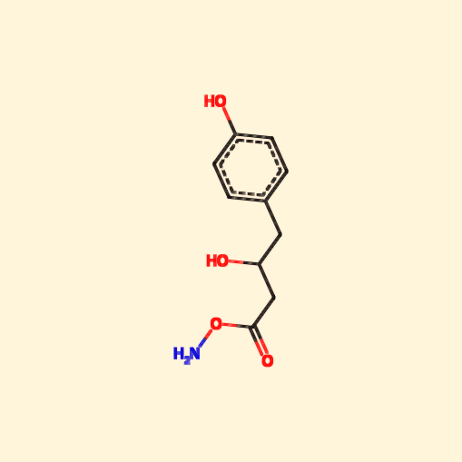 NOC(=O)CC(O)Cc1ccc(O)cc1